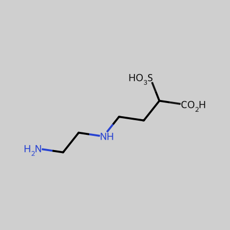 NCCNCCC(C(=O)O)S(=O)(=O)O